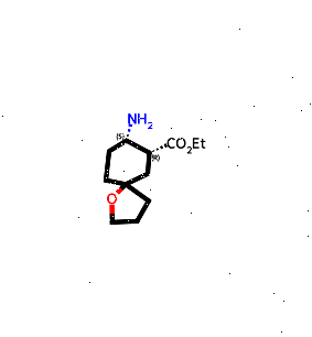 CCOC(=O)[C@@H]1CC2(CCCO2)CC[C@@H]1N